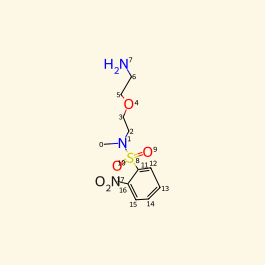 CN(CCOCCN)S(=O)(=O)c1ccccc1[N+](=O)[O-]